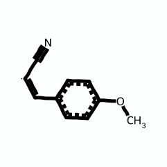 COc1ccc(/C=[C]\C#N)cc1